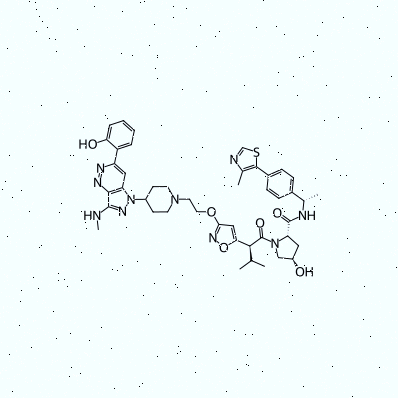 CNc1nn(C2CCN(CCOc3cc([C@@H](C(=O)N4C[C@H](O)C[C@H]4C(=O)N[C@@H](C)c4ccc(-c5scnc5C)cc4)C(C)C)on3)CC2)c2cc(-c3ccccc3O)nnc12